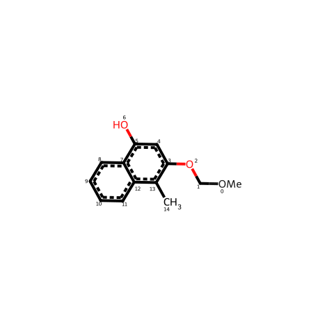 COCOc1cc(O)c2ccccc2c1C